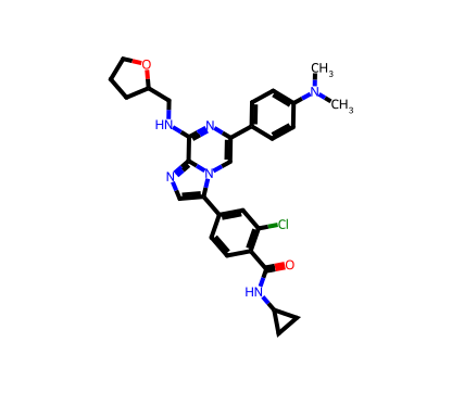 CN(C)c1ccc(-c2cn3c(-c4ccc(C(=O)NC5CC5)c(Cl)c4)cnc3c(NCC3CCCO3)n2)cc1